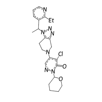 CCc1ncccc1C(C)n1nnc2c1CCN(c1cnn(C3CCCCO3)c(=O)c1Cl)C2